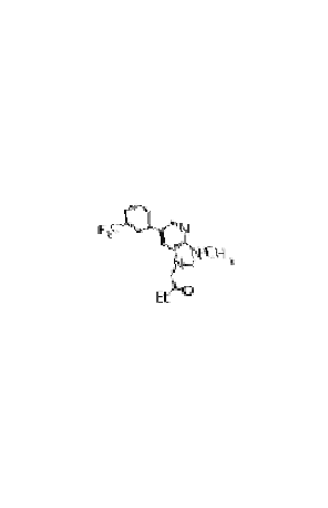 CCC(=O)CN1CN(C)c2ncc(-c3cccc(C(F)(F)F)c3)cc21